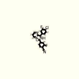 N#Cc1ccc(C(=O)N[C@@H](c2ccc(Cl)c(F)c2)c2ncccn2)cc1F